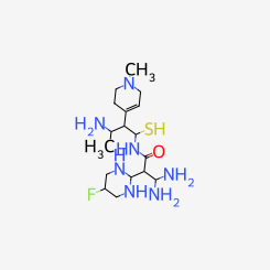 CC(N)C(C1=CCN(C)CC1)C(S)NC(=O)C(C(N)N)C1NCC(F)CN1